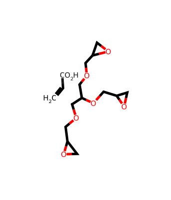 C(OCC1CO1)C(COCC1CO1)OCC1CO1.C=CC(=O)O